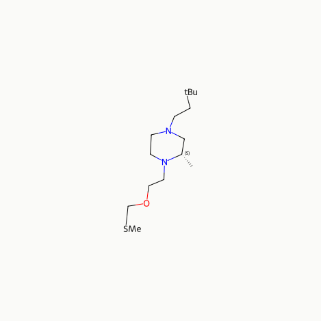 CSCOCCN1CCN(CCC(C)(C)C)C[C@@H]1C